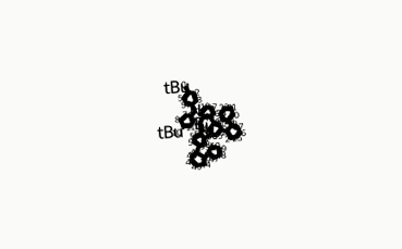 CC(C)(C)c1ccc(N2c3ccc(C(C)(C)C)cc3B3c4c(cccc42)-c2cc(-c4ccccc4-c4ccccc4)cc4c5cc(-c6ccccc6-c6ccccc6)ccc5n3c24)cc1